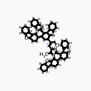 C=C/C(=C\c1nc2c3c(ccc4sc5ccccc5c43)c3ccc4c5ccccc5oc4c3n2c1C)c1cc2c3ccc4oc5ccccc5c4c3n3c4ccccc4nc3c2c2c1sc1ccccc12